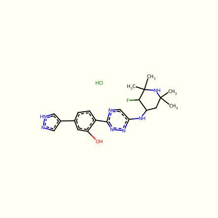 CC1(C)CC(Nc2cnc(-c3ccc(-c4cn[nH]c4)cc3O)nn2)C(F)C(C)(C)N1.Cl